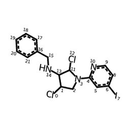 ClC1CN(c2cc(I)ccn2)C(Cl)C1NCc1ccccc1